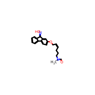 CN(C=O)CCC/C=C\COc1ccc2c(c1)/C(=N/O)c1ccccc1-2